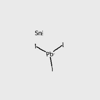 [I][Pb]([I])[I].[Sn]